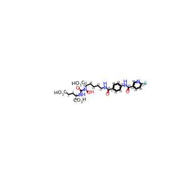 O=C(O)CC[C@H](NC(=O)N(O)[C@@H](CCCCNC(=O)c1ccc(NC(=O)c2ccc(F)nc2)cc1)C(=O)O)C(=O)O